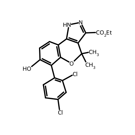 CCOC(=O)c1n[nH]c2c1C(C)(C)Oc1c-2ccc(O)c1-c1ccc(Cl)cc1Cl